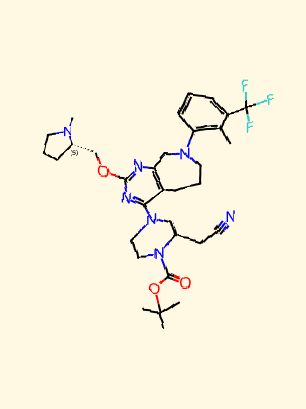 Cc1c(N2CCCc3c(nc(OC[C@@H]4CCCN4C)nc3N3CCN(C(=O)OC(C)(C)C)C(CC#N)C3)C2)cccc1C(F)(F)F